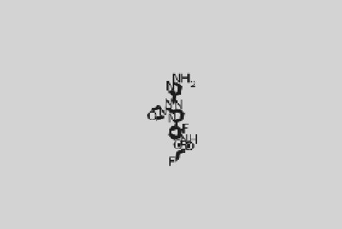 Nc1ccc(-c2nc(N3CCOCC3)c3nc(-c4cccc(NS(=O)(=O)CCCF)c4F)ccc3n2)cn1